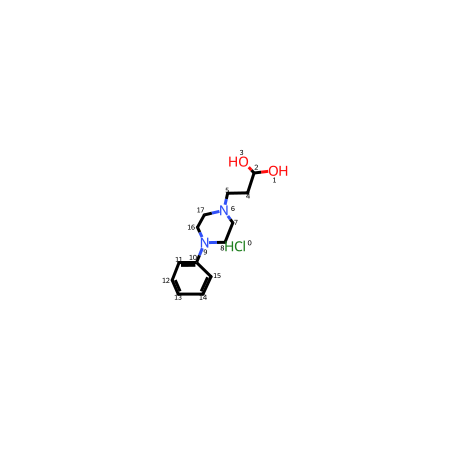 Cl.OC(O)CCN1CCN(c2ccccc2)CC1